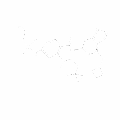 O=C(Nc1cc2nccn2c(OC2CCC2)n1)c1ccc(NS(=O)(=O)CCO)cc1N1CCC2(CC1)CC2